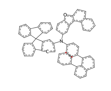 c1ccc(-c2cccc3cccc(-c4ccc(N(c5ccc6c(c5)C5(c7ccccc7-c7ccccc75)c5ccccc5-6)c5ccc6oc7ccc8ccccc8c7c6c5)cc4)c23)cc1